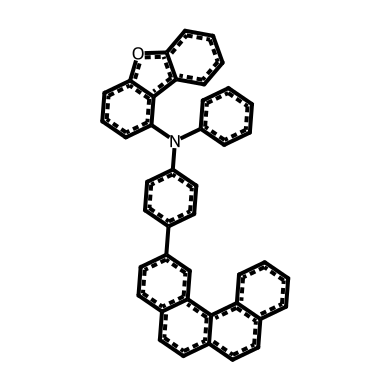 c1ccc(N(c2ccc(-c3ccc4ccc5ccc6ccccc6c5c4c3)cc2)c2cccc3oc4ccccc4c23)cc1